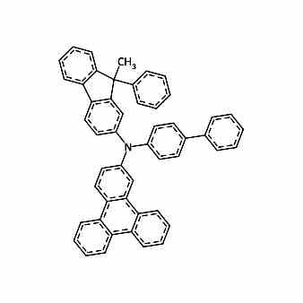 CC1(c2ccccc2)c2ccccc2-c2ccc(N(c3ccc(-c4ccccc4)cc3)c3ccc4c5ccccc5c5ccccc5c4c3)cc21